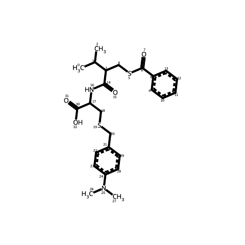 CC(C)C(CSC(=O)c1ccccc1)C(=O)NC(CSCc1ccc(N(C)C)cc1)C(=O)O